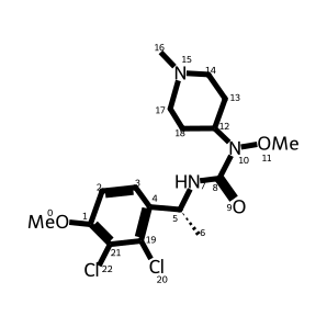 COc1ccc([C@@H](C)NC(=O)N(OC)C2CCN(C)CC2)c(Cl)c1Cl